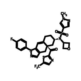 Cn1cc(S(=O)(=O)N(C2COC2)[C@H]2CCC3=Cc4c(cnn4-c4ccc(F)cc4)C[C@]3(C(=O)c3ncc(C(F)(F)F)s3)C2)cn1